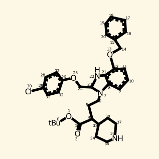 CC(C)(C)OC(=O)C(CCN1c2cccc(OCc3ccccc3)c2NC1COc1ccc(Cl)cc1)C1CCNCC1